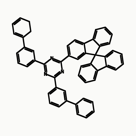 C1=CCCC(c2cccc(-c3nc(-c4cccc(-c5ccccc5)c4)nc(-c4ccc5c(c4)C4(c6ccccc6-c6ccccc64)c4ccccc4-5)n3)c2)=C1